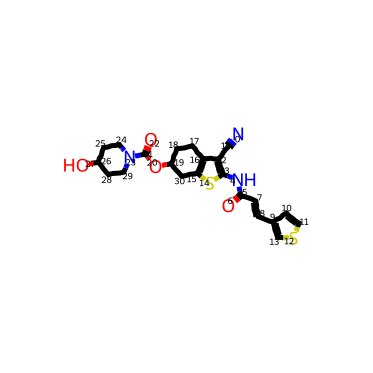 N#Cc1c(NC(=O)C=Cc2ccsc2)sc2c1CCC(OC(=O)N1CCC(O)CC1)C2